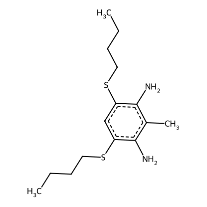 CCCCSc1cc(SCCCC)c(N)c(C)c1N